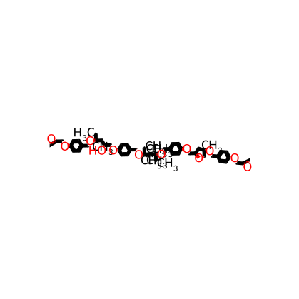 CCC(C)(CC(O)COc1ccc(COC(C)(CC)C(C)(C)C(C)(CC)OCc2ccc(OCC3CC(C)(OCc4ccc(OCC5CO5)cc4)CO3)cc2)cc1)OCc1ccc(OCC2CO2)cc1